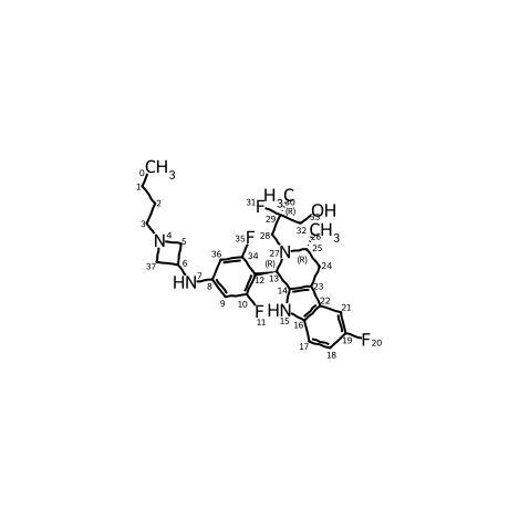 CCCCN1CC(Nc2cc(F)c([C@@H]3c4[nH]c5ccc(F)cc5c4C[C@@H](C)N3C[C@@](C)(F)CO)c(F)c2)C1